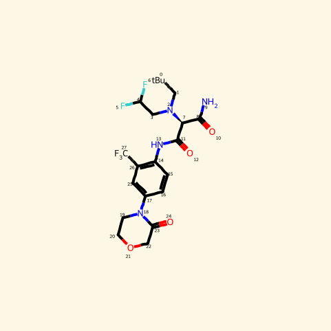 CC(C)(C)CN(CC(F)F)[C@@H](C(N)=O)C(=O)Nc1ccc(N2CCOCC2=O)cc1C(F)(F)F